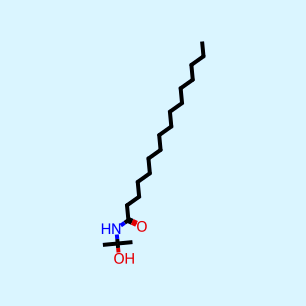 CCCCCCCCCCCCCCCC(=O)NC(C)(C)O